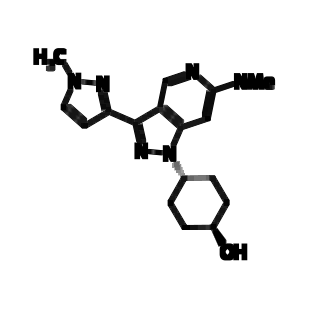 CNc1cc2c(cn1)c(-c1ccn(C)n1)nn2[C@H]1CC[C@H](O)CC1